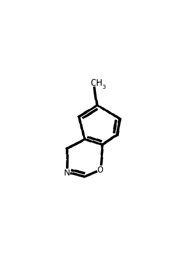 Cc1ccc2c(c1)CN=CO2